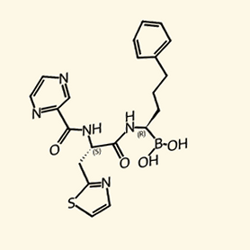 O=C(N[C@@H](Cc1nccs1)C(=O)N[C@@H](CCCc1ccccc1)B(O)O)c1cnccn1